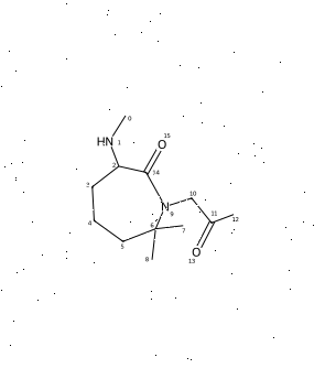 CNC1CCCC(C)(C)N(CC(C)=O)C1=O